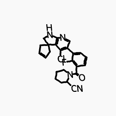 N#CC1CCCCN1C(=O)c1cccc(-c2cnc3c(c2Cl)C2(CC=CC2)CN3)c1F